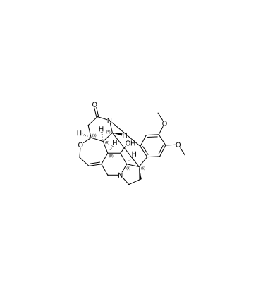 COc1cc2c(cc1OC)[C@@]13CCN4CC5=CCO[C@H]6CC(=O)N2[C@H]1[C@H]6[C@H]5C(O)[C@H]43